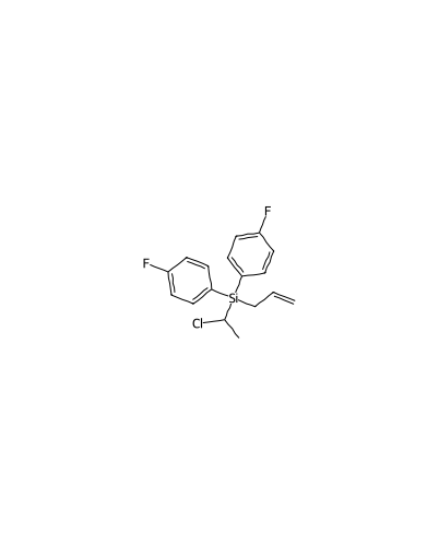 C=CC[Si](c1ccc(F)cc1)(c1ccc(F)cc1)C(C)Cl